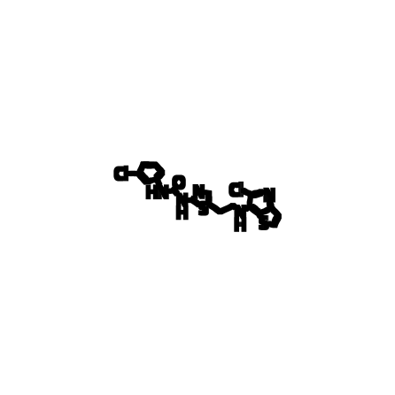 O=C(Nc1cccc(Cl)c1)Nc1ncc(CCNc2c(Cl)cnc3ccsc23)s1